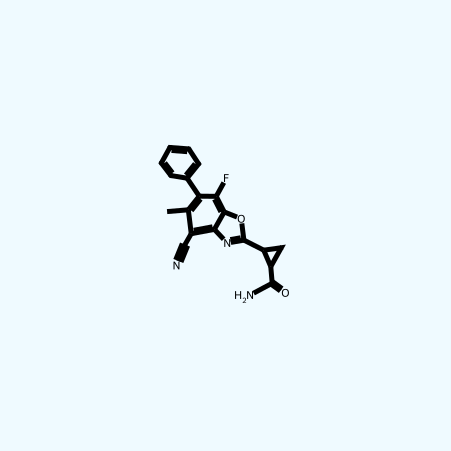 Cc1c(-c2ccccc2)c(F)c2oc(C3CC3C(N)=O)nc2c1C#N